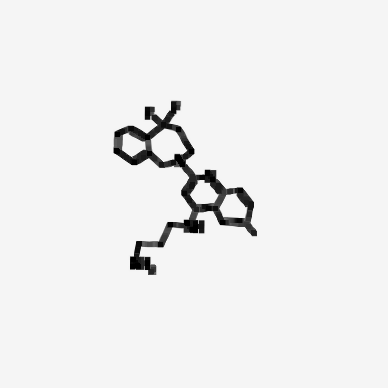 Cc1ccc2nc(N3CCC(F)(F)c4ccccc4C3)cc(NCCCN)c2c1